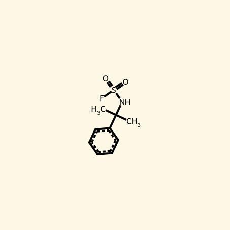 CC(C)(NS(=O)(=O)F)c1ccccc1